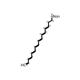 [CH]=CC=CC=CC=CC=CC=CC=CCCCCCCCCCCC